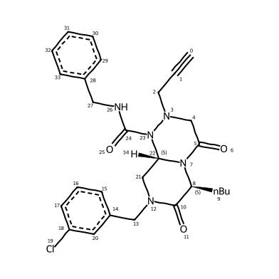 C#CCN1CC(=O)N2[C@@H](CCCC)C(=O)N(Cc3cccc(Cl)c3)C[C@@H]2N1C(=O)NCc1ccccc1